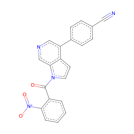 N#Cc1ccc(-c2cncc3c2ccn3C(=O)c2ccccc2[N+](=O)[O-])cc1